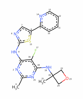 Cc1nc(Nc2ncc(-c3ccccn3)s2)c(F)c(NC2(C)COC2)n1